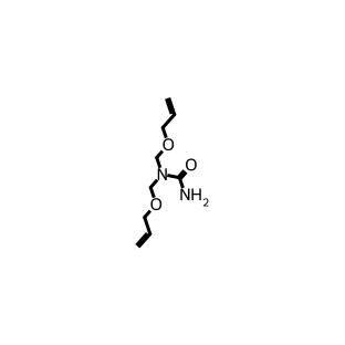 C=CCOCN(COCC=C)C(N)=O